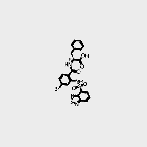 O=C(N[C@@H](Cc1ccccc1)C(=O)O)c1ccc(Br)cc1NS(=O)(=O)c1cccc2nsnc12